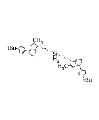 CC1=Cc2c(-c3ccc(C(C)(C)C)cc3)cccc2C1CCCCC[SiH2]CCCCCC1C(C)=Cc2c(-c3ccc(C(C)(C)C)cc3)cccc21